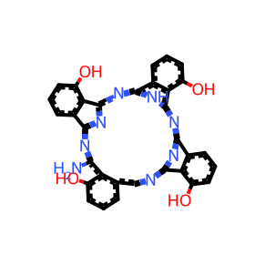 Nc1nc2nc(nc3[nH]c(nc4nc(ncc5cccc(O)c15)-c1c(O)cccc1-4)c1c(O)cccc31)-c1c(O)cccc1-2